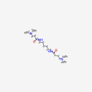 CCCN(CCC)CCCC(=O)NCCCCCCNC(=O)CCN(CCC)CCC